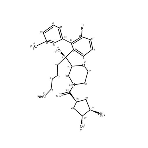 COCCCC[C@](O)(c1cccc(F)c1-c1cccc(C(F)(F)F)c1)C1CN(C(=O)[C@H]2C[C@@H](N)[C@@H](O)C2)CCO1